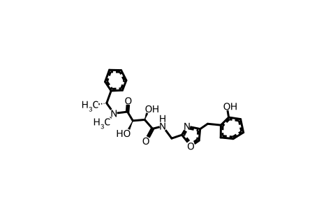 C[C@H](c1ccccc1)N(C)C(=O)[C@H](O)[C@@H](O)C(=O)NCc1nc(Cc2ccccc2O)co1